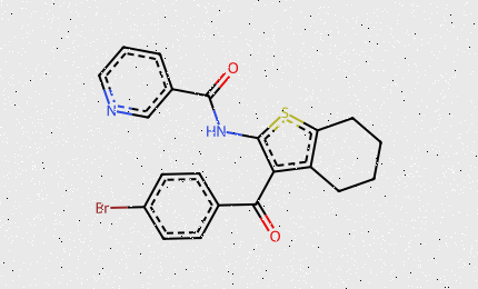 O=C(Nc1sc2c(c1C(=O)c1ccc(Br)cc1)CCCC2)c1cccnc1